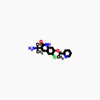 C[C@@H](Oc1cc2[nH]c(=O)c(C(C)(C)N)cc2cc1Cl)c1ccccn1